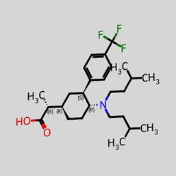 CC(C)CCN(CCC(C)C)[C@@H]1CC[C@@H]([C@@H](C)C(=O)O)C[C@H]1c1ccc(C(F)(F)F)cc1